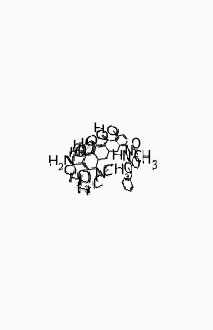 CC(=O)N(NC(=O)OCc1ccccc1)c1ccc(O)c2c1CC1CC3[C@H](N(C)C)C(O)=C(C(N)=O)C(=O)[C@@]3(O)C(O)=C1C2=O